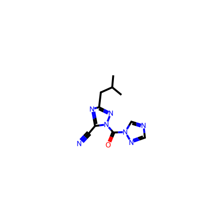 CC(C)Cc1nc(C#N)n(C(=O)n2cncn2)n1